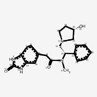 CN(C(=O)Cc1ccc2[nH]c(=O)[nH]c2c1)[C@H](CN1CC[C@H](O)C1)c1ccccc1